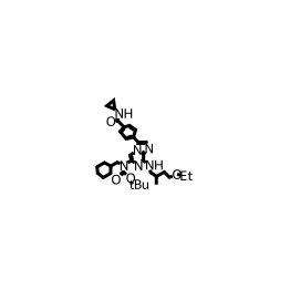 CCOCCC(C)CNc1nc(N(CC2CCCCC2)C(=O)OC(C)(C)C)cn2c(-c3ccc(C(=O)NC4CC4)cc3)cnc12